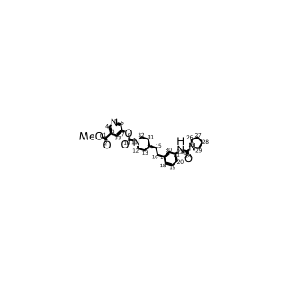 COC(=O)c1cncc(OC(=O)N2CCC(CCc3cccc(NC(=O)N4CCCC4)c3)CC2)c1